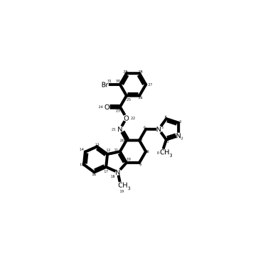 Cc1nccn1CC1CCc2c(c3ccccc3n2C)C1=NOC(=O)c1ccccc1Br